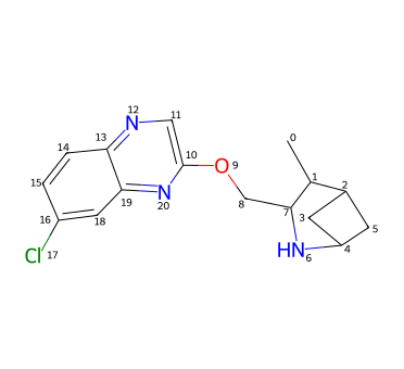 CC1C2CC(C2)NC1COc1cnc2ccc(Cl)cc2n1